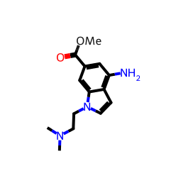 COC(=O)c1cc(N)c2ccn(CCN(C)C)c2c1